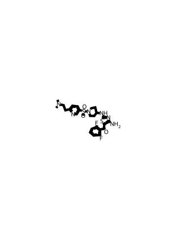 CN(C)CCc1ccc(S(=O)(=O)N2CCC(Nc3nc(N)c(C(=O)c4c(F)cccc4F)s3)CC2)cn1